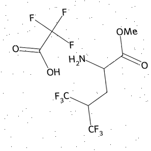 COC(=O)C(N)CC(C(F)(F)F)C(F)(F)F.O=C(O)C(F)(F)F